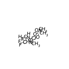 Cc1nnc(NC(C)c2cccc(C(F)F)c2F)c2cc3c(cc12)OCC(C(=O)N(C)C)O3